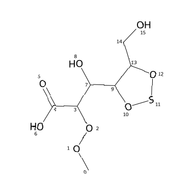 COOC(C(=O)O)C(O)C1OSOC1CO